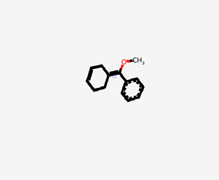 CO/C(=C1\CC=CCC1)c1ccccc1